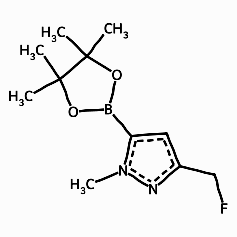 Cn1nc(CF)cc1B1OC(C)(C)C(C)(C)O1